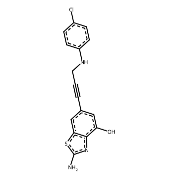 Nc1nc2c(O)cc(C#CCNc3ccc(Cl)cc3)cc2s1